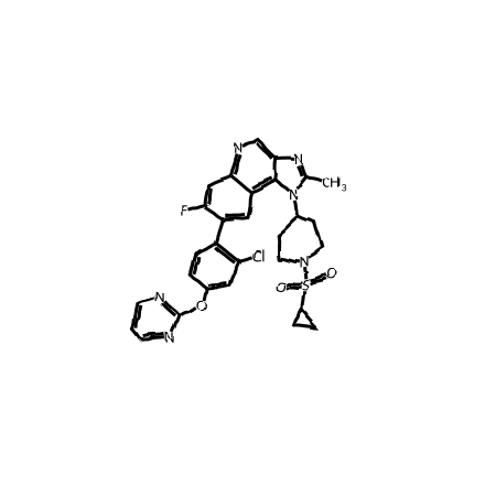 Cc1nc2cnc3cc(F)c(-c4ccc(Oc5ncccn5)cc4Cl)cc3c2n1C1CCN(S(=O)(=O)C2CC2)CC1